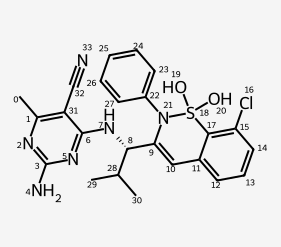 Cc1nc(N)nc(N[C@H](C2=Cc3cccc(Cl)c3S(O)(O)N2c2ccccc2)C(C)C)c1C#N